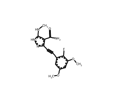 CNc1[nH]nc(C#Cc2cc(OC)cc(OC)c2F)c1C(N)=O